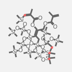 C=C(C)C(=O)OCCC[Si](O[Si](C)(O[Si](C)(C)C)O[Si](C)(C)C)(O[Si](C)(O[Si](C)(C)C)O[Si](C)(C)C)O[Si](CCCOC(=O)C(=C)C)(O[Si](C)(O[Si](C)(C)C)O[Si](C)(C)C)O[Si](C)(O[Si](C)(C)C)O[Si](C)(C)C